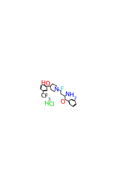 Cl.NC(CC(F)N1CCC(O)(c2cccc(C(F)(F)F)c2)CC1)C(=O)c1ccccc1